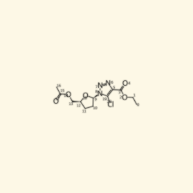 CCOC(=O)c1nnn([C@H]2CC[C@@H](COC(C)=O)O2)c1Cl